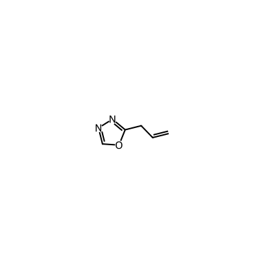 C=CCc1nnco1